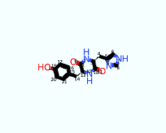 O=C1N[C@H](Cc2c[nH]cn2)C(=O)N[C@@H]1Cc1ccc(O)cc1